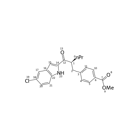 CCC[C@@H](Cc1ccc(C(=O)OC)cc1)C(=O)c1cc2cc(Cl)ccc2[nH]1